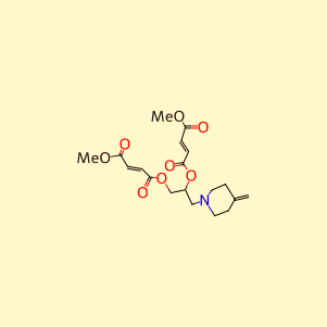 C=C1CCN(CC(COC(=O)/C=C/C(=O)OC)OC(=O)/C=C/C(=O)OC)CC1